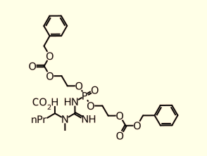 CCCC(C(=O)O)N(C)C(=N)NP(=O)(OCCOC(=O)OCc1ccccc1)OCCOC(=O)OCc1ccccc1